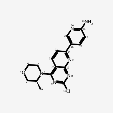 C[C@H]1COCCN1c1nc(Cl)nc2nc(-c3ccc(N)nc3)ccc12